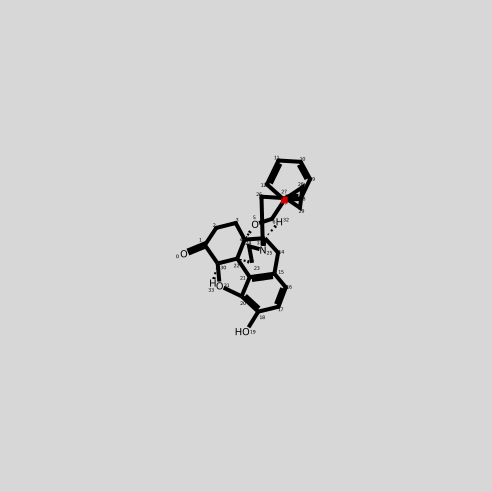 O=C1CC[C@@]2(OCc3ccccc3)[C@H]3Cc4ccc(O)c5c4[C@@]2(CCN3CC2CC2)[C@H]1O5